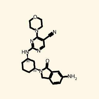 N#Cc1cnc(N[C@@H]2CCC[C@H](N3Cc4ccc(N)cc4C3=O)C2)nc1N1CCOCC1